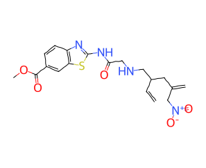 C=CC(CNCC(=O)Nc1nc2ccc(C(=O)OC)cc2s1)CC(=C)C[N+](=O)[O-]